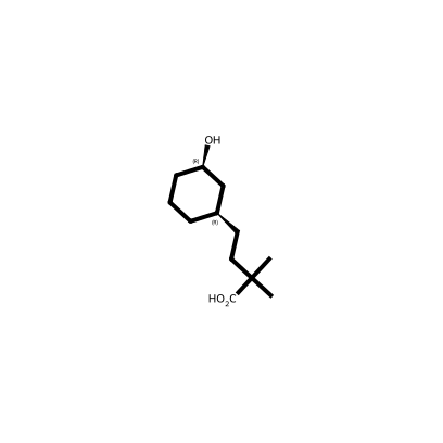 CC(C)(CC[C@H]1CCC[C@@H](O)C1)C(=O)O